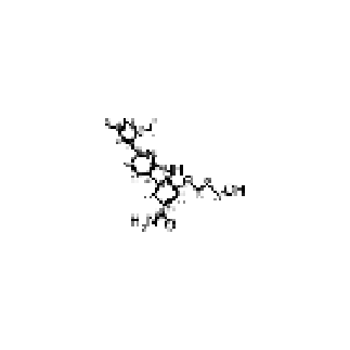 CCn1nc(C)cc1-c1ccc2c(n1)[nH]c1c(OCCCO)cc(C(N)=O)cc12